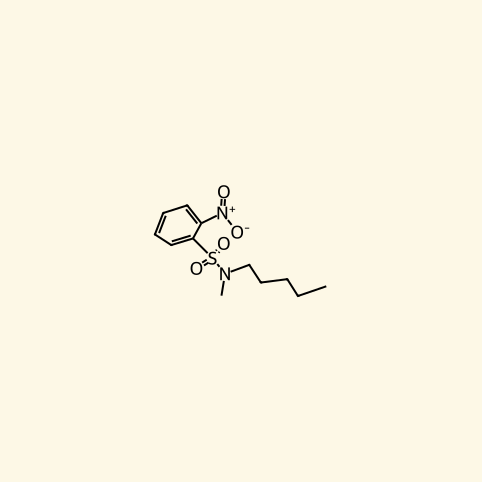 CCCCCN(C)S(=O)(=O)c1ccccc1[N+](=O)[O-]